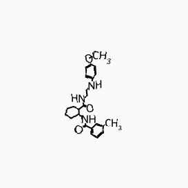 COc1ccc(NCCNC(=O)C2CCCCC2NC(=O)c2cccc(C)c2)cc1